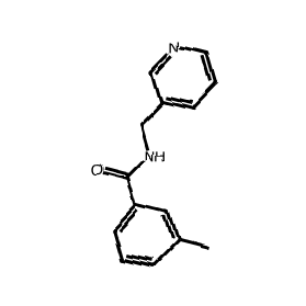 Cc1cccc(C(=O)NCc2cccnc2)c1